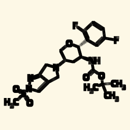 CC(C)(C)OC(=O)N[C@H]1CC(N2Cc3cn(S(C)(=O)=O)nc3C2)CO[C@@H]1c1cc(F)ccc1F